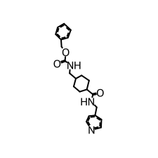 O=C(NCC1CCC(C(=O)NCc2ccncc2)CC1)OCc1ccccc1